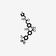 COc1cc(-c2ccc3c(c2)Nc2cc(CC(=O)NCc4ccsc4)ccc2NC3=O)ccc1[N+](=O)[O-]